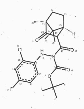 CC(C)(C)OC(=O)N(Nc1ccc(F)cc1Cl)C(=O)C1C(=O)[C@@]2(C)CC[C@@H]1C2(C)C